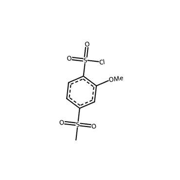 COc1cc(S(C)(=O)=O)ccc1S(=O)(=O)Cl